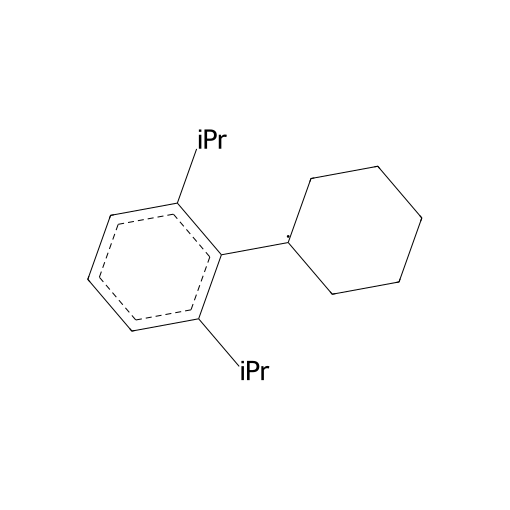 CC(C)c1cccc(C(C)C)c1[C]1CCCCC1